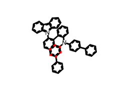 c1ccc(-c2ccc(N(c3cccc(-c4ccccc4)c3)c3ccccc3-c3c(-n4c5ccccc5c5ccccc54)ccc4ccccc34)cc2)cc1